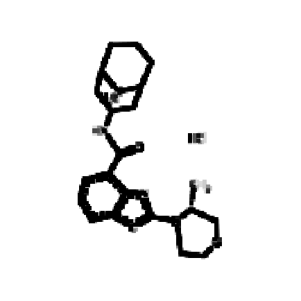 C[C@@H]1COCCN1c1nc2c(C(=O)NC3CC4CCCC(C3)N4C)cccc2o1.Cl